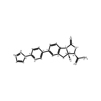 NC(=O)[C@@H]1OC(=O)N2c3ccc(-c4ccc(-n5ccnn5)nc4)cc3C[C@@H]12